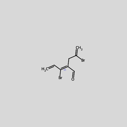 C=C/C(Br)=C(/C=O)CC(=C)Br